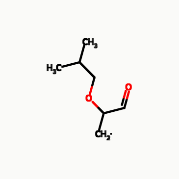 [CH2]C(C=O)OCC(C)C